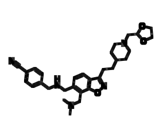 CN(C)Cc1c(CNCc2ccc(C#N)cc2)ccc2c(CCC3CCN(CC4OCCO4)CC3)noc12